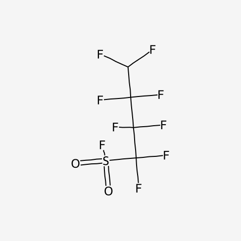 O=S(=O)(F)C(F)(F)C(F)(F)C(F)(F)C(F)F